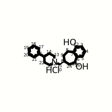 Cl.Oc1cccc2c1CC[C@H](CN1CCC(c3ccccc3)CC1)C[C@@H]2O